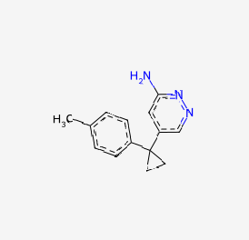 Cc1ccc(C2(c3cnnc(N)c3)CC2)cc1